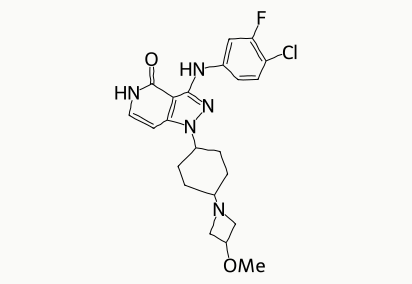 COC1CN(C2CCC(n3nc(Nc4ccc(Cl)c(F)c4)c4c(=O)[nH]ccc43)CC2)C1